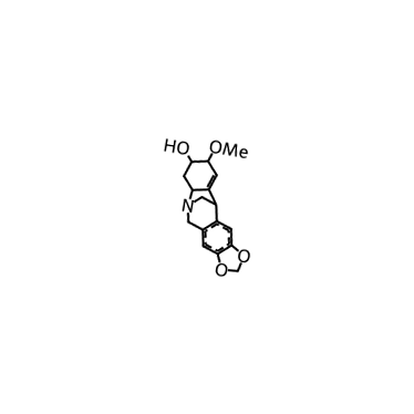 COC1C=C2C3CN(Cc4cc5c(cc43)OCO5)C2CC1O